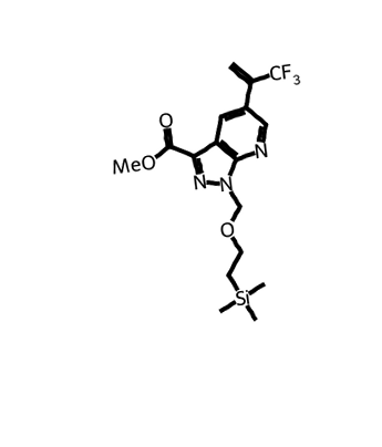 C=C(c1cnc2c(c1)c(C(=O)OC)nn2COCC[Si](C)(C)C)C(F)(F)F